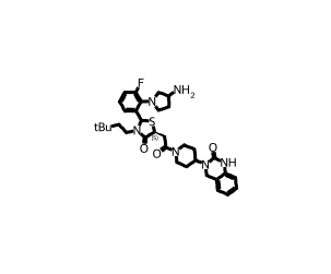 CC(C)(C)CCN1C(=O)[C@H](CC(=O)N2CCC(N3Cc4ccccc4NC3=O)CC2)SC1c1cccc(F)c1N1CCC(N)C1